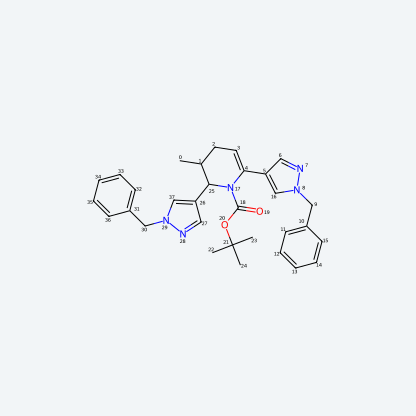 CC1CC=C(c2cnn(Cc3ccccc3)c2)N(C(=O)OC(C)(C)C)C1c1cnn(Cc2ccccc2)c1